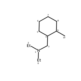 CCN(CC)CC1CCCCC1C